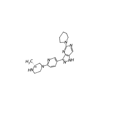 C[C@@H]1CN(c2ccc(-c3n[nH]c4cnc(N5CCCCC5)nc34)cn2)CCN1